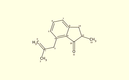 C=C(C)Cc1cccc2c1C(=O)C(C)C2